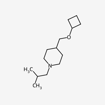 CC(C)CN1CCC(COC2CCC2)CC1